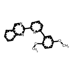 COc1ccc(OC)c(-c2cccc(-c3ncc4ccccc4n3)n2)c1